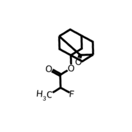 CC(F)C(=O)OC12CC3CC(C1)C(=O)C(C3)C2